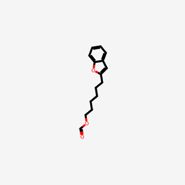 O=[C]OCCCCCCc1cc2ccccc2o1